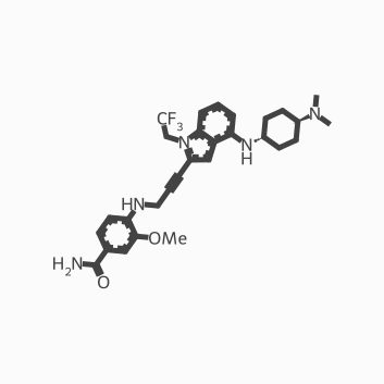 COc1cc(C(N)=O)ccc1NCC#Cc1cc2c(N[C@H]3CC[C@H](N(C)C)CC3)cccc2n1CC(F)(F)F